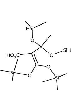 C[SiH](C)OC(C)(O[SiH3])C(C(=O)O)=C(O[Si](C)(C)C)O[Si](C)(C)C